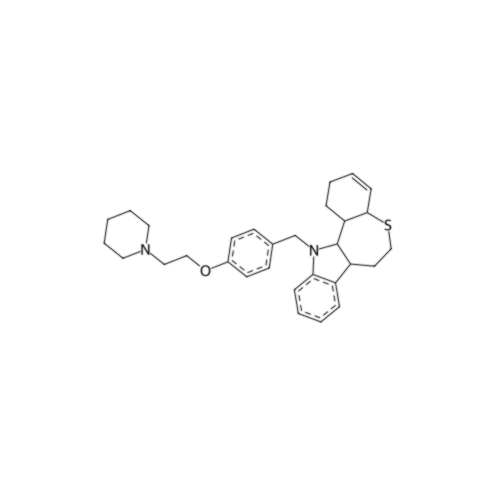 C1=CC2SCCC3c4ccccc4N(Cc4ccc(OCCN5CCCCC5)cc4)C3C2CC1